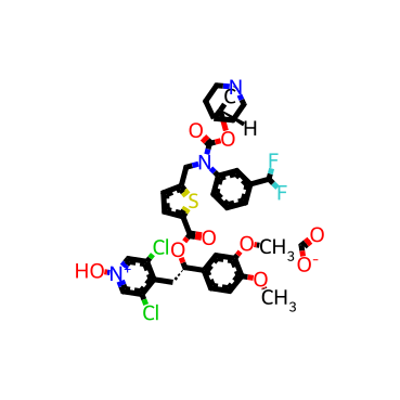 COc1ccc([C@H](Cc2c(Cl)c[n+](O)cc2Cl)OC(=O)c2ccc(CN(C(=O)O[C@H]3CN4CCC3CC4)c3cccc(C(F)F)c3)s2)cc1OC.O=C[O-]